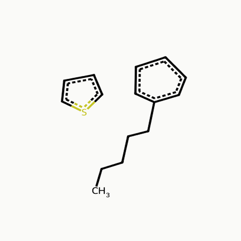 CCCCCc1ccccc1.c1ccsc1